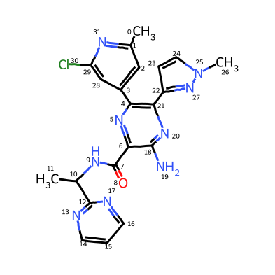 Cc1cc(-c2nc(C(=O)NC(C)c3ncccn3)c(N)nc2-c2ccn(C)n2)cc(Cl)n1